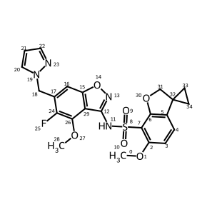 COc1ccc2c(c1S(=O)(=O)Nc1noc3cc(Cn4cccn4)c(F)c(OC)c13)OCC21CC1